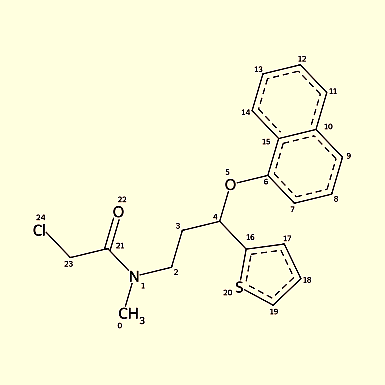 CN(CCC(Oc1cccc2ccccc12)c1cccs1)C(=O)CCl